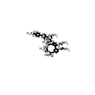 Cc1nc(-c2ccc(C(C)(C)C)cc2)ncc1C(=O)N[C@@H](CCN)C(=O)N(C)[C@@H]1C(=O)N[C@@H](C)C(=O)N[C@H](C(=O)O)Cc2ccc(OCCN)c(c2)-c2cc1ccc2OCCN